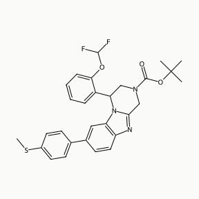 CSc1ccc(-c2ccc3nc4n(c3c2)C(c2ccccc2OC(F)F)CN(C(=O)OC(C)(C)C)C4)cc1